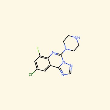 Fc1cc(Cl)cc2c1nc(N1CCNCC1)n1ncnc21